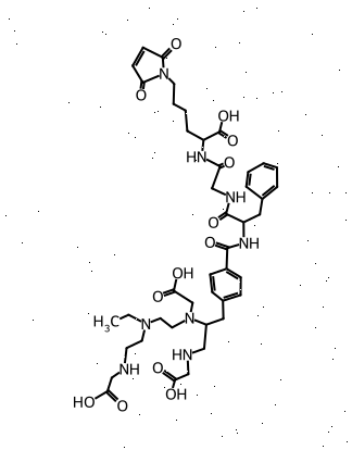 CCN(CCNCC(=O)O)CCN(CC(=O)O)C(CNCC(=O)O)Cc1ccc(C(=O)NC(Cc2ccccc2)C(=O)NCC(=O)NC(CCCCN2C(=O)C=CC2=O)C(=O)O)cc1